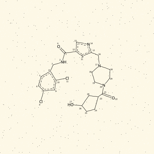 O=C(NCc1ccc(Cl)cc1Cl)c1cnc(CN2CCN(C(=O)C3CCC(O)C3)CC2)s1